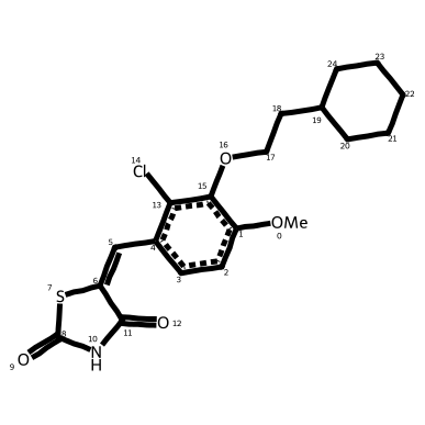 COc1ccc(C=C2SC(=O)NC2=O)c(Cl)c1OCCC1CCCCC1